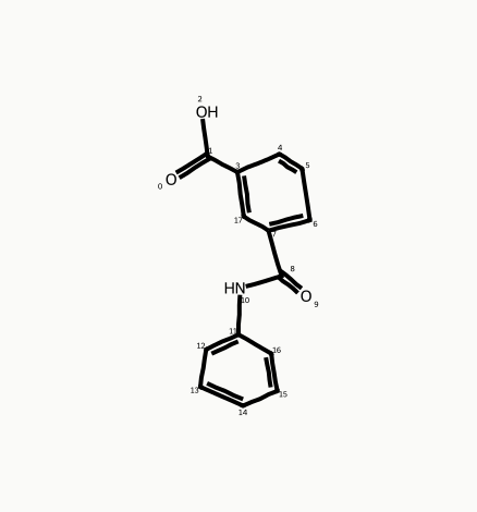 O=C(O)c1cccc(C(=O)Nc2ccccc2)c1